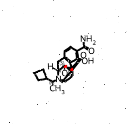 C[C@H](C1CCC1)N1CCC23CC(=O)CC[C@@]2(O)[C@H]1Cc1ccc(C(N)=O)c(O)c13